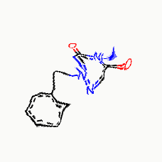 O=c1cnn(Cc2ccccc2)c(=O)[nH]1